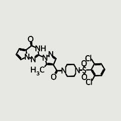 Cc1c(C(=O)N2CCN(S(=O)(=O)c3c(Cl)cccc3Cl)CC2)cnn1-c1nn2cccc2c(=O)[nH]1